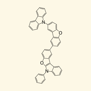 c1ccc(-n2c3ccccc3c3c4cc(-c5ccc6oc7ccc(-n8c9ccccc9c9ccccc98)cc7c6c5)ccc4oc32)cc1